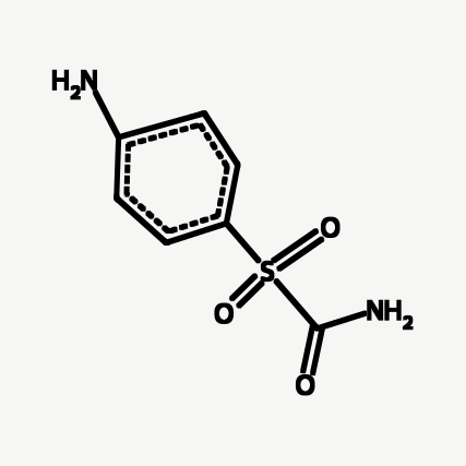 NC(=O)S(=O)(=O)c1ccc(N)cc1